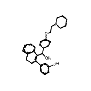 Oc1cccc(C2=C(C(O)c3ccc(OCCN4CCCCC4)cc3)c3ccccc3CC2)c1